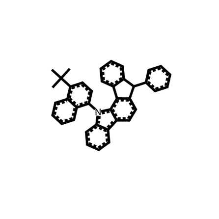 CC(C)(C)c1ccc(-n2c3ccccc3c3ccc4c(c32)-c2ccccc2C4c2ccccc2)c2ccccc12